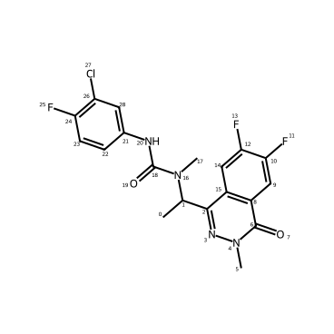 CC(c1nn(C)c(=O)c2cc(F)c(F)cc12)N(C)C(=O)Nc1ccc(F)c(Cl)c1